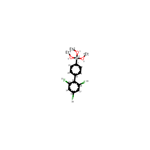 CCO[Si](OCC)(OCC)c1ccc(-c2c(F)cc(F)cc2F)cc1